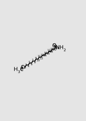 COCCCCCCCCCCCCCCCC=CCCC(N)=O